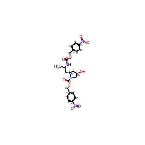 CC(C[C@@H]1C[C@@H](O)CN1C(=O)OCc1ccc([N+](=O)[O-])cc1)NC(=O)OCc1ccc([N+](=O)[O-])cc1